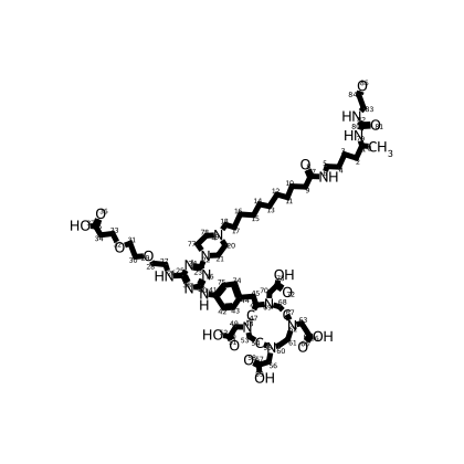 CC(CCCCNC(=O)CCCCCCCCCCN1CCN(c2nc(NCCOCCOCCC(=O)O)nc(Nc3ccc(CC4CN(CC(=O)O)CCN(CC(=O)O)CCN(CC(=O)O)CCN4CC(=O)O)cc3)n2)CC1)NC(=O)NCC=O